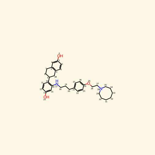 Oc1ccc2c(c1)CCC(c1ccc(O)cc1NCCCc1ccc(OCCN3CCCCCCC3)cc1)C2